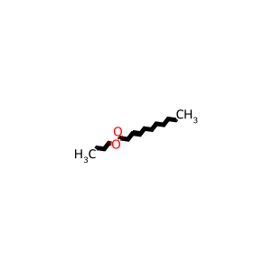 CCCCCCCC=CCC(=O)OCCCC